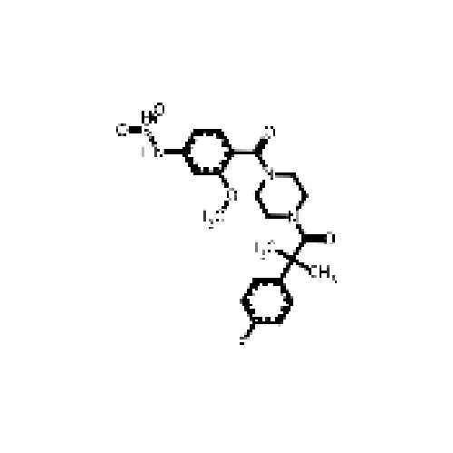 COc1cc(N[SH](=O)=O)ccc1C(=O)N1CCN(C(=O)C(C)(C)c2ccc(F)cc2)CC1